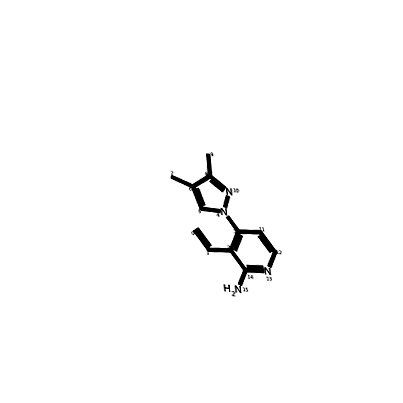 C=Cc1c(-n2cc(C)c(C)n2)ccnc1N